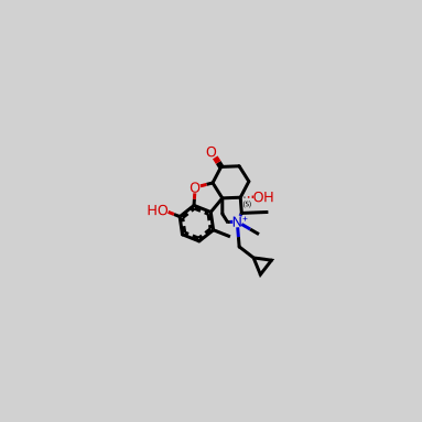 Cc1ccc(O)c2c1C13CC[N+](C)(CC4CC4)C(C)[C@]1(O)CCC(=O)C3O2